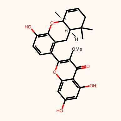 COc1c(-c2ccc(O)c3c2C[C@@H]2C(C)(C)CC=C[C@]2(C)O3)oc2cc(O)cc(O)c2c1=O